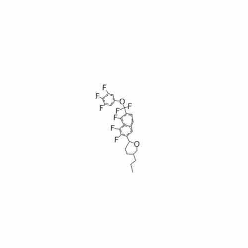 CCCC1CCC(c2cc3ccc(C(F)(F)Oc4cc(F)c(F)c(F)c4)c(F)c3c(F)c2F)OC1